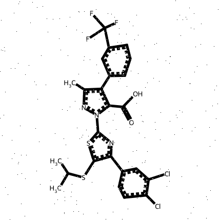 Cc1nn(-c2nc(-c3ccc(Cl)c(Cl)c3)c(SC(C)C)s2)c(C(=O)O)c1-c1cccc(C(F)(F)F)c1